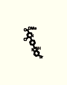 COC(=O)c1cnc(-c2ccc(-c3nc4ccc(Br)cc4[nH]3)cc2)c(Cl)c1